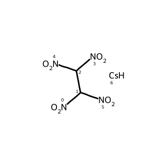 O=[N+]([O-])C(C([N+](=O)[O-])[N+](=O)[O-])[N+](=O)[O-].[CsH]